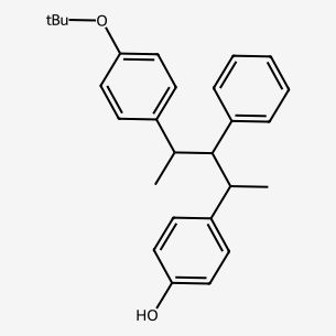 CC(c1ccc(O)cc1)C(c1ccccc1)C(C)c1ccc(OC(C)(C)C)cc1